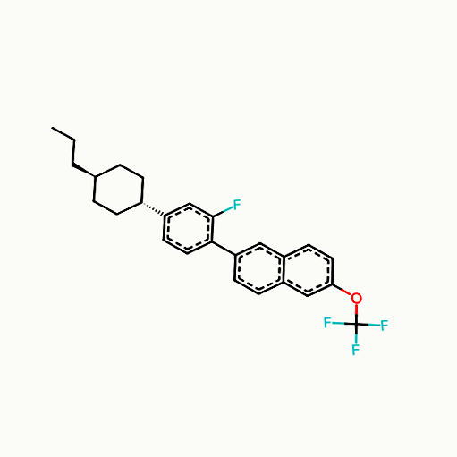 CCC[C@H]1CC[C@H](c2ccc(-c3ccc4cc(OC(F)(F)F)ccc4c3)c(F)c2)CC1